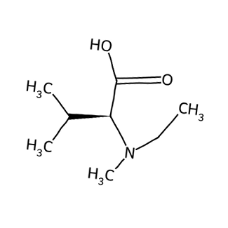 CCN(C)[C@H](C(=O)O)C(C)C